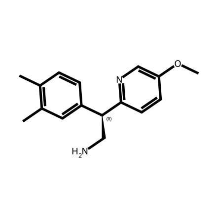 COc1ccc([C@@H](CN)c2ccc(C)c(C)c2)nc1